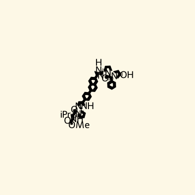 COC(=O)N[C@H](C(=O)N1CCC[C@H]1c1ncc(-c2ccc(-c3ccc4cc(-c5c[nH]c([C@@H]6CCCN6C(=O)[C@@H](c6ccccc6)N6CC[C@H](O)C6)n5)ccc4c3)cc2)[nH]1)C(C)C